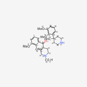 COc1cccc(C(=O)C2CCN(C(=O)O)CC2)c1OC.COc1cccc(C2(C=O)CCNCC2)c1OC